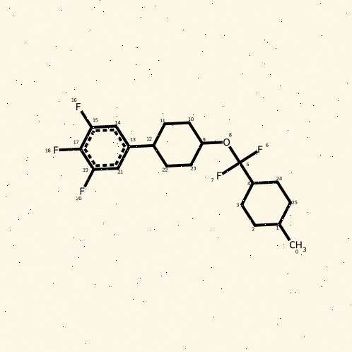 CC1CCC(C(F)(F)OC2CCC(c3cc(F)c(F)c(F)c3)CC2)CC1